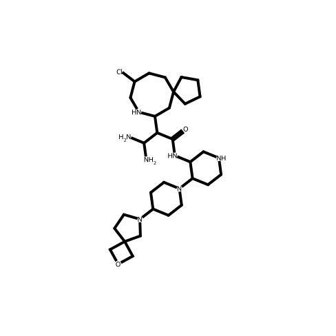 NC(N)C(C(=O)NC1CNCCC1N1CCC(N2CCC3(COC3)C2)CC1)C1CC2(CCCC2)CCC(Cl)CN1